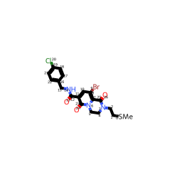 CSCCN1CCn2c(c(Br)cc(C(=O)NCc3ccc(Cl)cc3)c2=O)C1=O